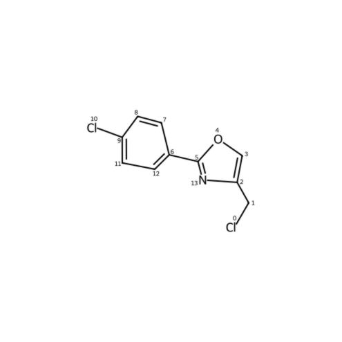 ClCc1coc(-c2ccc(Cl)cc2)n1